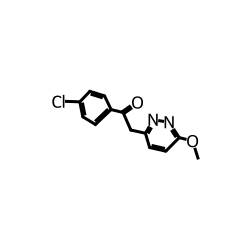 COc1ccc(CC(=O)c2ccc(Cl)cc2)nn1